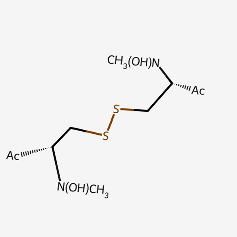 CC(=O)[C@H](CSSC[C@@H](C(C)=O)N(C)O)N(C)O